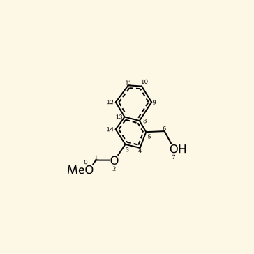 COCOc1cc(CO)c2ccccc2c1